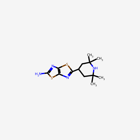 CC1(C)CC(c2nc3sc(N)nc3s2)CC(C)(C)N1